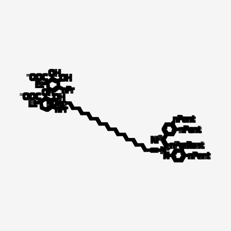 CCCC1=CCC(CC)(C(=O)[O-])C(O)=C1O.CCCC1=CCC(CC)(C(=O)[O-])C(O)=C1O.CCCCCCCCCCCCCCCCCCCCCCCCCCCCC#C[N+](=Nc1ccc(CCCCC)c(CCCCC)c1)C(CCCCC)=[C]([Ni+2])c1ccc(CCCCC)c(CCCCC)c1